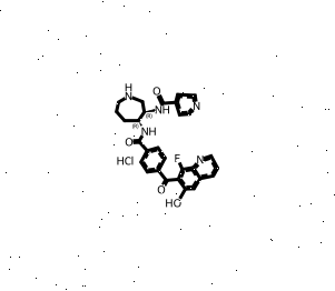 Cl.O=C(N[C@@H]1CCCNC[C@H]1NC(=O)c1ccncc1)c1ccc(C(=O)c2c(O)cc3cccnc3c2F)cc1